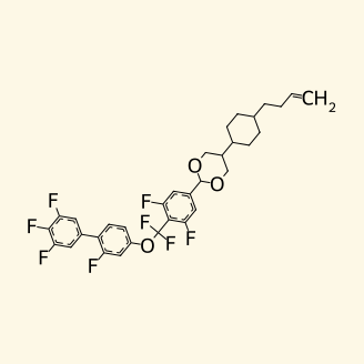 C=CCCC1CCC(C2COC(c3cc(F)c(C(F)(F)Oc4ccc(-c5cc(F)c(F)c(F)c5)c(F)c4)c(F)c3)OC2)CC1